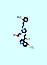 COc1ccc2nccc([C@H](O)CC[C@@H]3CCN(CCCc4ccccc4OC)C[C@H]3CCC(=O)O)c2c1